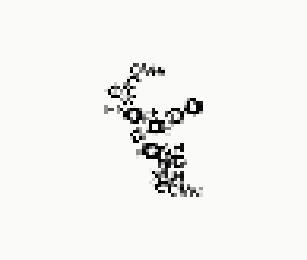 COC(=O)N[C@H](C(=O)N1CCC[C@]1(C)c1nc2cc(F)c([C@H]3CC[C@H](c4cc5[nH]c([C@@H]6CCCN6C(=O)C[C@@H](C)OC)nc5cc4F)N3c3cc(F)c(N4CCC(c5ccccc5)CC4)c(F)c3)cc2[nH]1)[C@@H](C)OC